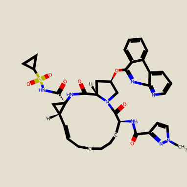 Cn1ccc(C(=O)N[C@H]2CCCCCC=C[C@@H]3C[C@@]3(C(=O)NS(=O)(=O)C3CC3)NC(=O)[C@@H]3C[C@@H](Oc4nc5ncccc5c5ccccc45)CN3C2=O)n1